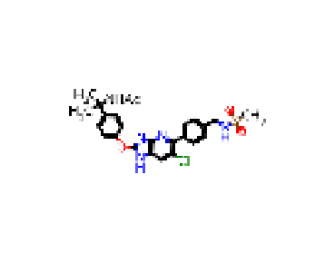 CC(=O)NC(C)(C)c1ccc(Oc2nc3nc(-c4ccc(CNS(C)(=O)=O)cc4)c(Cl)cc3[nH]2)cc1